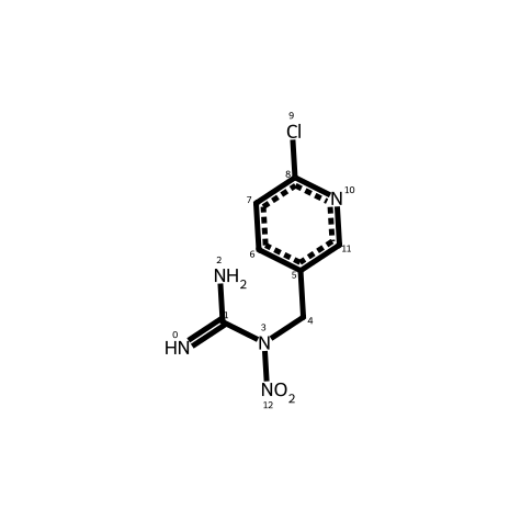 N=C(N)N(Cc1ccc(Cl)nc1)[N+](=O)[O-]